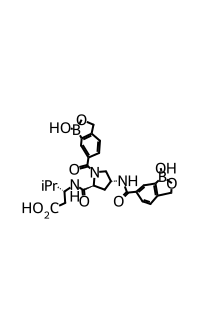 CC(C)[C@@H](CC(=O)O)NC(=O)[C@@H]1C[C@@H](NC(=O)c2ccc3c(c2)B(O)OC3)CN1C(=O)c1ccc2c(c1)B(O)OC2